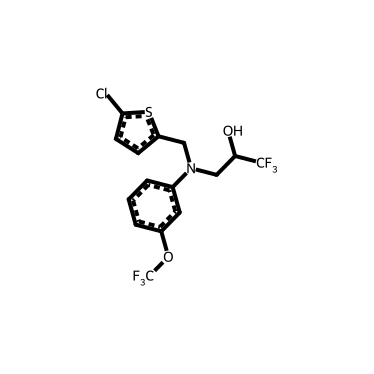 OC(CN(Cc1ccc(Cl)s1)c1cccc(OC(F)(F)F)c1)C(F)(F)F